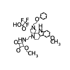 CCOC1C(=O)C(=O)C1NCCN1CCc2c([nH]c3ccc(OC)cc23)C12CCN(CCOc1ccccc1)C2.O=C(O)C(F)(F)F